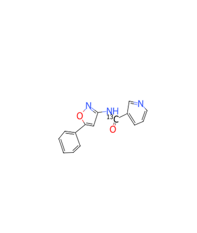 O=[13C](Nc1cc(-c2ccccc2)on1)c1cccnc1